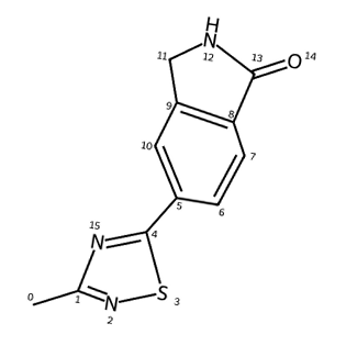 Cc1nsc(-c2ccc3c(c2)CNC3=O)n1